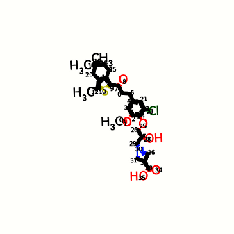 COc1cc(CCC(=O)c2sc(C)c3c2CCC(C)(C)C3)cc(Cl)c1OCC(O)CN1CC(C(=O)O)C1